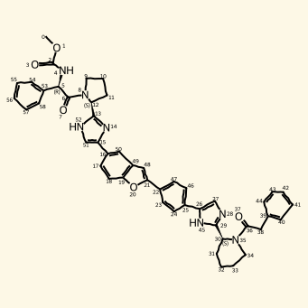 COC(=O)N[C@@H](C(=O)N1CCC[C@H]1c1nc(-c2ccc3oc(-c4ccc(-c5cnc([C@@H]6CCCCN6C(=O)Cc6ccccc6)[nH]5)cc4)cc3c2)c[nH]1)c1ccccc1